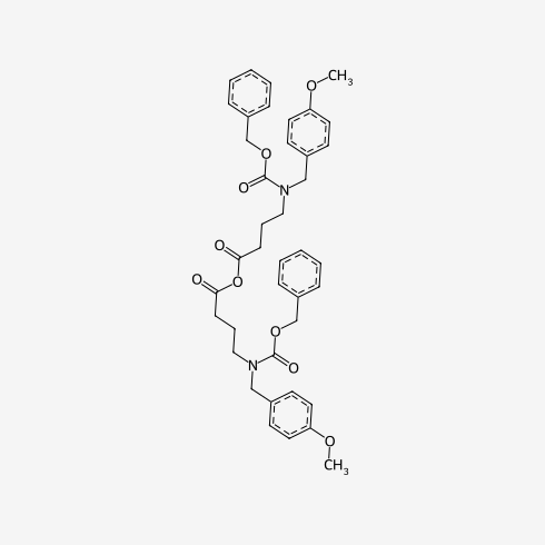 COc1ccc(CN(CCCC(=O)OC(=O)CCCN(Cc2ccc(OC)cc2)C(=O)OCc2ccccc2)C(=O)OCc2ccccc2)cc1